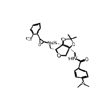 CN(C)c1ccc(C(=O)NC[C@]23CO[C@H](CNC4OC4c4ccccc4Cl)[C@H]2OC(C)(C)O3)cc1